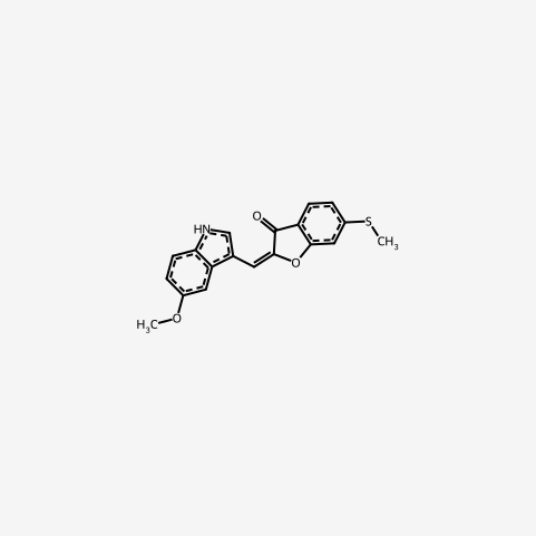 COc1ccc2[nH]cc(C=C3Oc4cc(SC)ccc4C3=O)c2c1